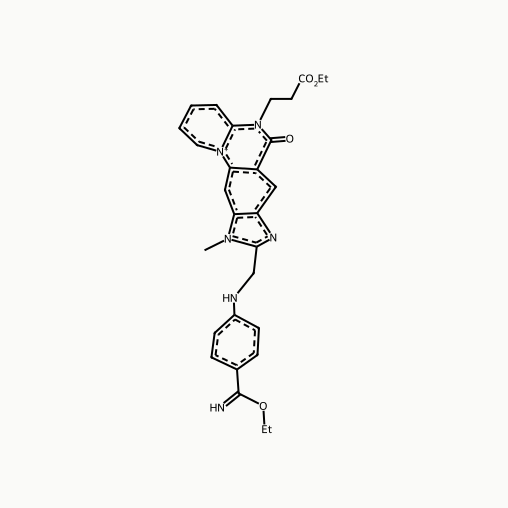 CCOC(=N)c1ccc(NCc2nc3cc4c(=O)n(CCC(=O)OCC)c5cccc[n+]5c4cc3n2C)cc1